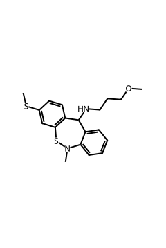 COCCCNC1c2ccc(SC)cc2SN(C)c2ccccc21